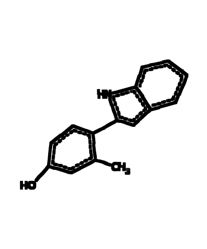 Cc1cc(O)ccc1-c1cc2ccccc2[nH]1